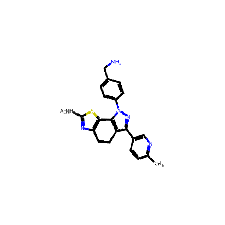 CC(=O)Nc1nc2c(s1)-c1c(c(-c3ccc(C)nc3)nn1-c1ccc(CN)cc1)CC2